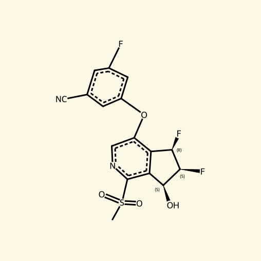 CS(=O)(=O)c1ncc(Oc2cc(F)cc(C#N)c2)c2c1[C@H](O)[C@H](F)[C@@H]2F